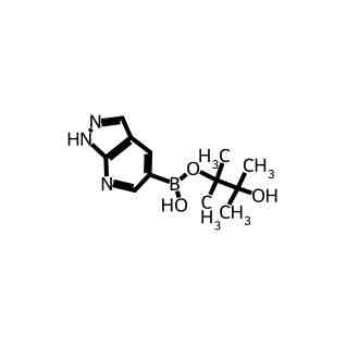 CC(C)(O)C(C)(C)OB(O)c1cnc2[nH]ncc2c1